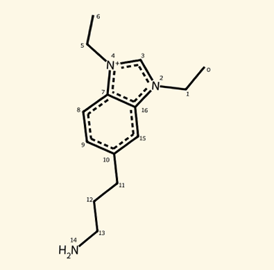 CCn1c[n+](CC)c2ccc(CCCN)cc21